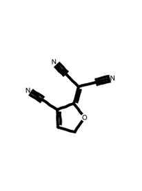 N#CC1=CCOC1=C(C#N)C#N